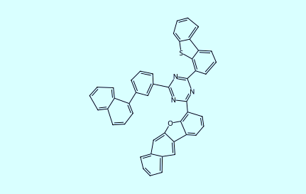 c1cc(-c2nc(-c3cccc4c3oc3cc5ccccc5cc34)nc(-c3cccc4c3sc3ccccc34)n2)cc(-c2cccc3ccccc23)c1